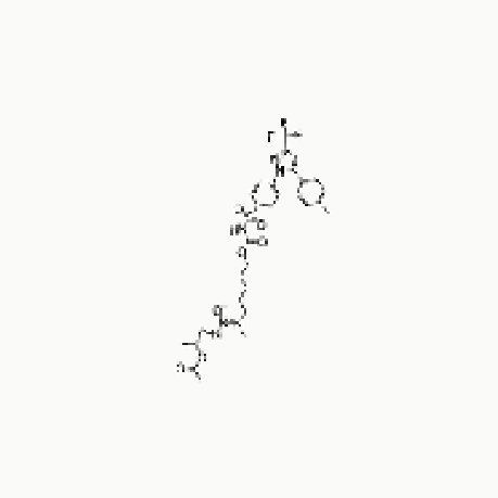 CC(=O)OC(C)ON=[N+]([O-])N(C)CCCCCOC(=O)NS(=O)(=O)c1ccc(-n2nc(C(F)(F)F)cc2-c2ccc(C)cc2)cc1